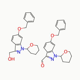 O=Cc1nn(C2CCCCO2)c2cc(OCc3ccccc3)ccc12.OCc1nn(C2CCCCO2)c2cc(OCc3ccccc3)ccc12